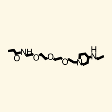 CCNC1CCN(CCOCCOCCOCCNC(=O)CC)CC1